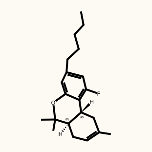 CCCCCc1cc(F)c2c(c1)OC(C)(C)[C@@H]1CC=C(C)C[C@@H]21